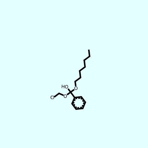 CCCCCCCOC(O)(OCCl)c1ccccc1